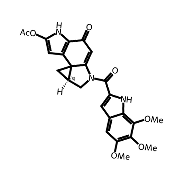 COc1cc2cc(C(=O)N3C[C@H]4CC45C3=CC(=O)c3[nH]c(OC(C)=O)cc35)[nH]c2c(OC)c1OC